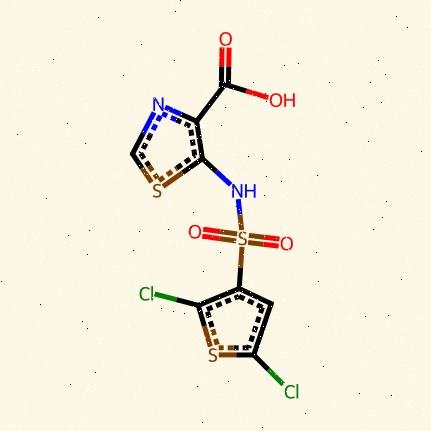 O=C(O)c1ncsc1NS(=O)(=O)c1cc(Cl)sc1Cl